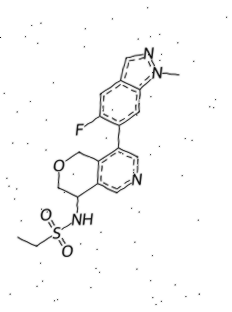 CCS(=O)(=O)NC1COCc2c(-c3cc4c(cnn4C)cc3F)cncc21